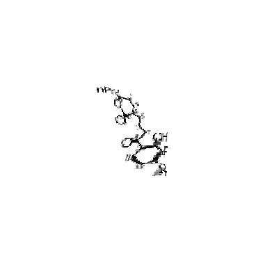 CCCC1CCC(CCCC(=O)c2ccc(OCC)c(F)c2O)C(=O)O1